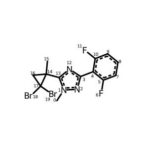 Cn1nc(-c2c(F)cccc2F)nc1C1(C)CC1(Br)Br